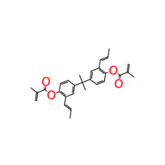 C=C(C)C(=O)Oc1ccc(C(C)(C)c2ccc(OC(=O)C(=C)C)c(C=CC)c2)cc1C=CC